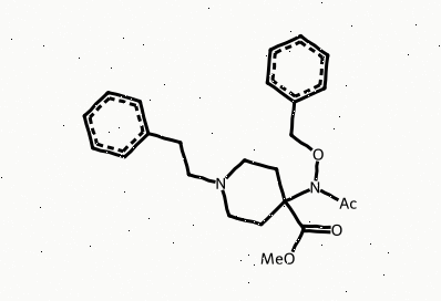 COC(=O)C1(N(OCc2ccccc2)C(C)=O)CCN(CCc2ccccc2)CC1